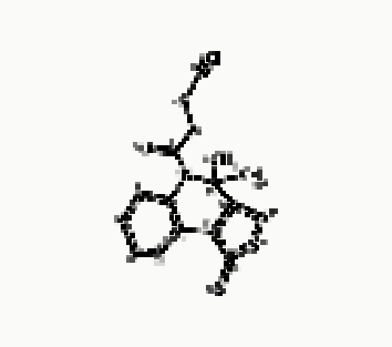 C#CSCC(=O)N1c2ccccc2-c2c(ssc2=S)C1(C)C